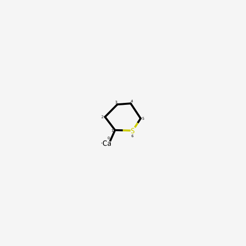 [Ca][CH]1CCCCS1